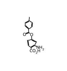 Cc1ccc(C(=O)Oc2ccc(C(=O)O)c(N)c2)cc1